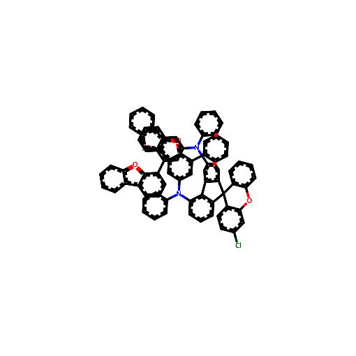 Clc1ccc2c(c1)Oc1ccccc1C21c2ccc(N(c3ccccc3)c3cc(-c4cccc5c4oc4ccccc45)c4sc5ccccc5c4c3)cc2-c2c(N(c3ccccc3)c3cc(-c4ccccc4)c4oc5ccccc5c4c3)cccc21